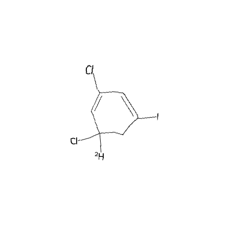 [2H]C1(Cl)C=C(Cl)C=C(I)C1